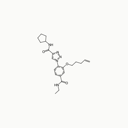 C=CCCCOc1cc(C(=O)NCC)ccc1-n1cc(C(=O)NC2CCCC2)nn1